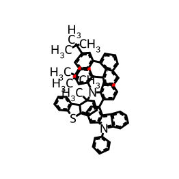 CC(C)(C)c1cc(-c2cccc3cccc(-c4ccccc4N(c4ccccc4-c4cccc5c4c4ccccc4n5-c4ccccc4)C4(C)C=CC=C5Sc6ccccc6C54)c23)cc(C(C)(C)C)c1